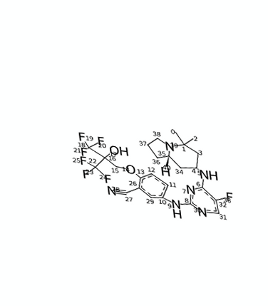 CC1(C)C[C@H](Nc2nc(Nc3ccc(OCC(O)(C(F)(F)F)C(F)(F)F)c(C#N)c3)ncc2F)C[C@@H]2CCCN21